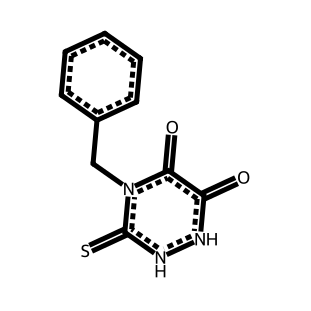 O=c1[nH][nH]c(=S)n(Cc2ccccc2)c1=O